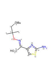 CC(C)COCC(C)(C)O/N=C(\C(=O)O)c1csc(N)n1